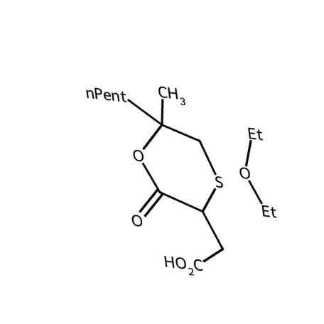 CCCCCC1(C)CSC(CC(=O)O)C(=O)O1.CCOCC